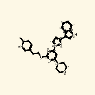 CC1CC=C(CCOc2nc(N3CCOCC3)cc(-n3ccc(-c4c[nH]c5ccccc45)n3)n2)C=N1